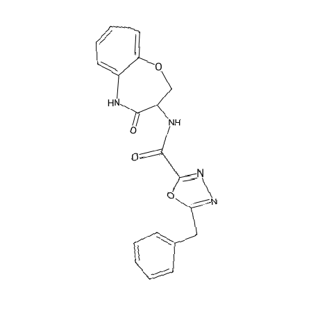 O=C(NC1COc2ccccc2NC1=O)c1nnc(Cc2ccccc2)o1